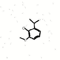 [CH2]C(C)c1cccc(OC)c1Cl